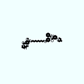 COc1cc2c(cc1OCCCCCCCCCCOc1ccc(-n3c(-c4ccccc4)nc4ccc(N5CCC(C)CC5)cc4c3=O)cc1)N=C[C@@H]1CCCN1C2=O